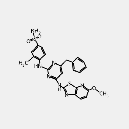 COc1ccc2nc(Nc3cc(Cc4ccccc4)nc(Nc4ccc(S(N)(=O)=O)cc4C)n3)sc2n1